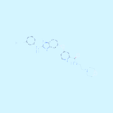 Cn1c(Nc2cccc(C(F)(F)F)c2)nc2cc(Oc3ccnc(C(=O)NCCN4CCOCC4)c3)ccc21